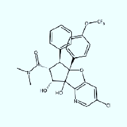 CN(C)C(=O)[C@H]1[C@@H](O)C2(O)c3ncc(Cl)cc3O[C@@]2(c2ccc(OC(F)(F)F)cc2)[C@@H]1c1ccccc1